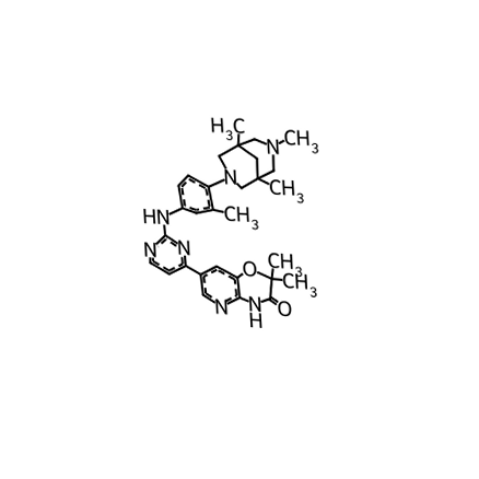 Cc1cc(Nc2nccc(-c3cnc4c(c3)OC(C)(C)C(=O)N4)n2)ccc1N1CC2(C)CN(C)CC(C)(C1)C2